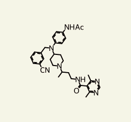 CC(=O)Nc1ccc(N(Cc2cccc(C#N)c2)C2CCN(C(C)CCNC(=O)c3c(C)ncnc3C)CC2)cc1